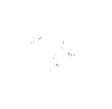 NC(=O)c1cc(-c2ccc(F)nc2)cc2c(C3CCS(O)(O)CC3)c[nH]c12